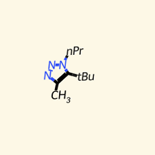 CCCn1nnc(C)c1C(C)(C)C